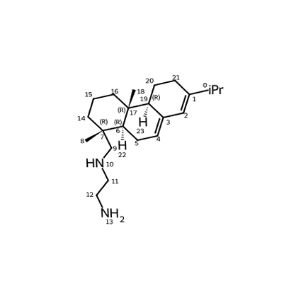 CC(C)C1=CC2=CC[C@H]3[C@](C)(CNCCN)CCC[C@]3(C)[C@H]2CC1